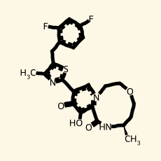 Cc1nc(-c2cn3c(c(O)c2=O)C(=O)N[C@H](C)CCOCC3)sc1Cc1ccc(F)cc1F